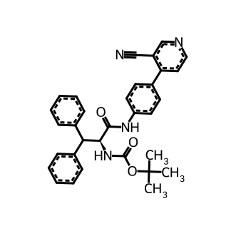 CC(C)(C)OC(=O)N[C@H](C(=O)Nc1ccc(-c2ccncc2C#N)cc1)C(c1ccccc1)c1ccccc1